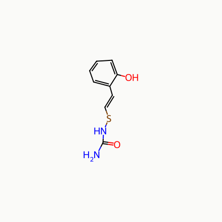 NC(=O)NSC=Cc1ccccc1O